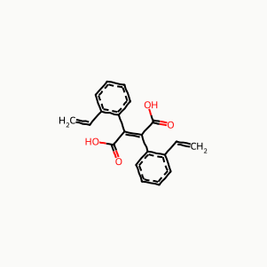 C=Cc1ccccc1C(C(=O)O)=C(C(=O)O)c1ccccc1C=C